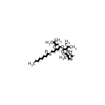 CCCCCCCC(=O)SCC/C=C/[C@H](CC(=O)C(C)C)OC(=O)[C@@H](NC(=O)[C@]1(C)CSC=N1)C(C)C